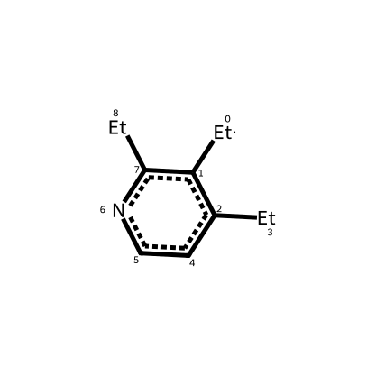 C[CH]c1c(CC)ccnc1CC